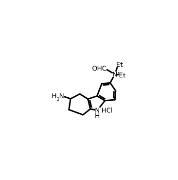 CC[N+](C=O)(CC)c1ccc2[nH]c3c(c2c1)CC(N)CC3.Cl